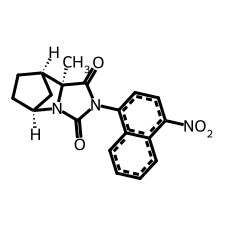 C[C@]12C(=O)N(c3ccc([N+](=O)[O-])c4ccccc34)C(=O)N1[C@H]1CC[C@@H]2C1